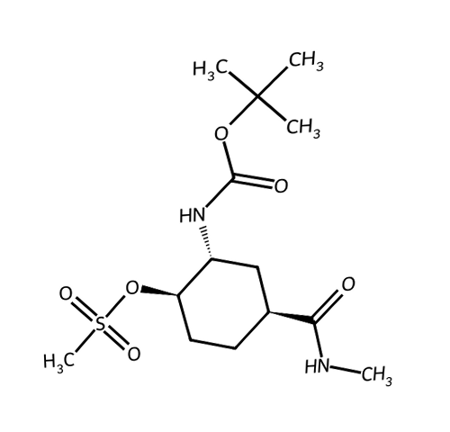 CNC(=O)[C@H]1CC[C@@H](OS(C)(=O)=O)[C@H](NC(=O)OC(C)(C)C)C1